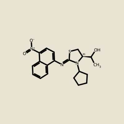 CC(O)[C@@H]1CSC(=Nc2ccc([N+](=O)[O-])c3ccccc23)N1C1CCCC1